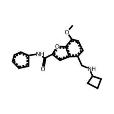 COc1ccc(CNC2CCC2)c2cc(C(=O)Nc3ccccc3)oc12